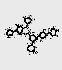 CC1C=CC=C(c2cc(-c3ccc(-c4ccccn4)cc3)cc(C3N=C(c4ccccc4)c4ccc(-c5ccccc5)cc4N3)c2)C1